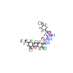 O=C(NC1=CN(c2ccc(Cl)cc2)ON1)Nc1ccc(Oc2c(Cl)cc(C(F)(F)F)cc2Cl)cc1Cl